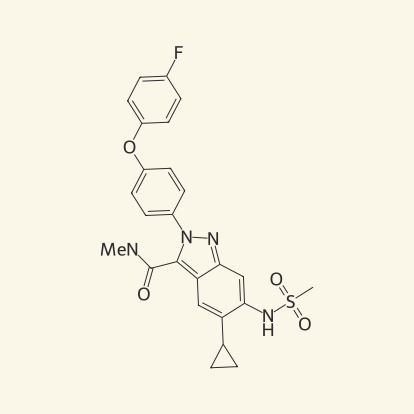 CNC(=O)c1c2cc(C3CC3)c(NS(C)(=O)=O)cc2nn1-c1ccc(Oc2ccc(F)cc2)cc1